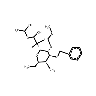 CC[C@H]1O[C@H](C(F)(F)C(O)OC(C)C)[C@H](OCOC)[C@@H](OCc2ccccc2)[C@H]1C